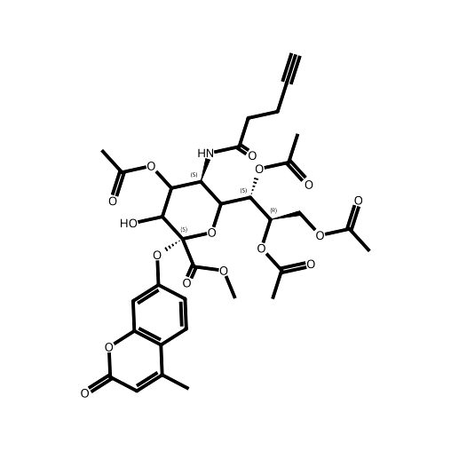 C#CCCC(=O)N[C@@H]1C(OC(C)=O)C(O)[C@](Oc2ccc3c(C)cc(=O)oc3c2)(C(=O)OC)OC1[C@H](OC(C)=O)[C@@H](COC(C)=O)OC(C)=O